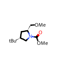 COC[C@H]1C[C@@H](C(C)(C)C)CN1C(=O)OC